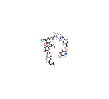 Cc1ccc(COc2ccc(Oc3c(C)cc(C=CC(=O)N4CCN(Cc5ccc(CCOc6ccc(Br)cn6)cc5)CC4)cc3Cl)nc2)cc1